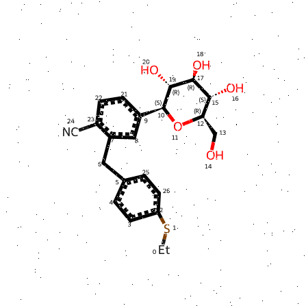 CCSc1ccc(Cc2cc([C@@H]3O[C@H](CO)[C@@H](O)[C@H](O)[C@H]3O)ccc2C#N)cc1